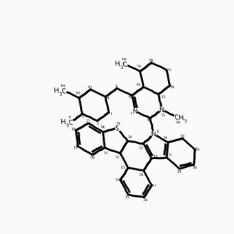 CC1CCC(CC2=NC(n3c4c(c5c3C3Sc6ccccc6C3C3C=CC=CC53)C=CCC4)N(C)C3CCCC(C)C23)CC1C